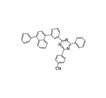 N#Cc1ccc(-c2nc(-c3ccccc3)nc(-c3cccc(-c4ccc(-c5ccccc5)c5ccccc45)c3)n2)cc1